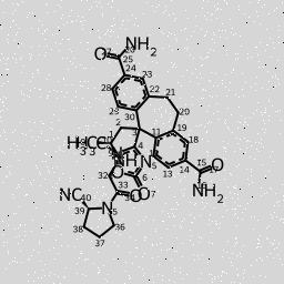 C[C@@H](CC1(c2nc(=O)on2C)c2ccc(C(N)=O)cc2CCc2cc(C(N)=O)ccc21)NCC(=O)N1CCC[C@H]1C#N